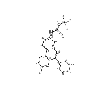 Cc1ccc2c(c1)c(-c1ccccc1)nc1cc(NC(=O)OC(C)(C)C)ccc12